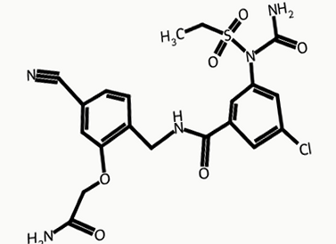 CCS(=O)(=O)N(C(N)=O)c1cc(Cl)cc(C(=O)NCc2ccc(C#N)cc2OCC(N)=O)c1